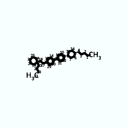 CCCCC[C@H]1CC[C@H](c2ccc(-c3ccc(CCC4(CCCC)CCCCC4)cc3)cc2)CC1